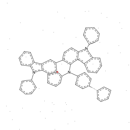 c1ccc(-c2ccc(N(c3ccccc3)c3c(-c4ccc5c(c4)c4ccccc4n5-c4ccccc4)ccc4c3c3ccccc3n4-c3ccccc3)cc2)cc1